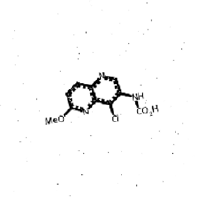 COc1ccc2ncc(NC(=O)O)c(Cl)c2n1